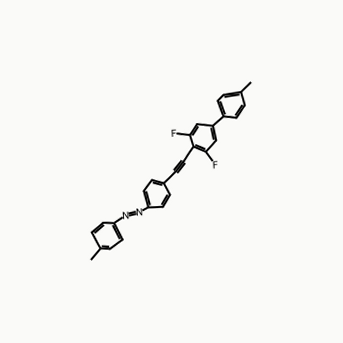 Cc1ccc(N=Nc2ccc(C#Cc3c(F)cc(-c4ccc(C)cc4)cc3F)cc2)cc1